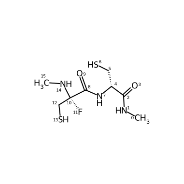 CNC(=O)[C@@H](CS)NC(=O)[C@@](F)(CS)NC